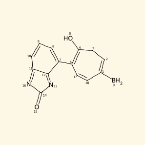 BC1=CCC(O)=C(c2cccc3c2=NC(=O)N=3)C=C1